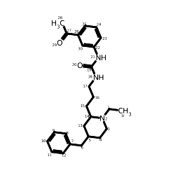 CCN1CCC(Cc2ccccc2)CC1CCCNC(=O)Nc1cccc(C(C)=O)c1